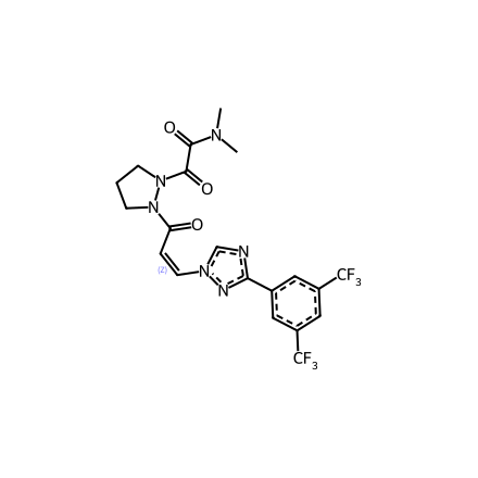 CN(C)C(=O)C(=O)N1CCCN1C(=O)/C=C\n1cnc(-c2cc(C(F)(F)F)cc(C(F)(F)F)c2)n1